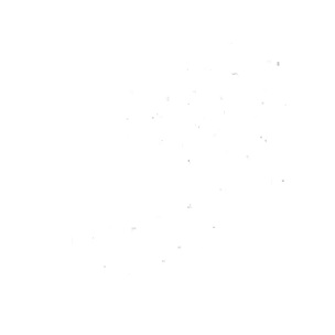 Cc1nc(CO)c(-c2ccc3c(c2)CCC(Cc2ccc(F)cc2)O3)c(N2CCC(C)(C)CC2)c1C(OC(C)(C)C)C(=O)OC(C)C